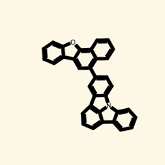 c1ccc2c(c1)oc1c3ccccc3c(-c3ccc4c(c3)c3cccc5c6ccccc6n4c53)cc21